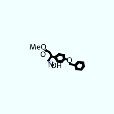 COC(=O)CC(/C=N\O)c1ccc(OCc2ccccc2)cc1